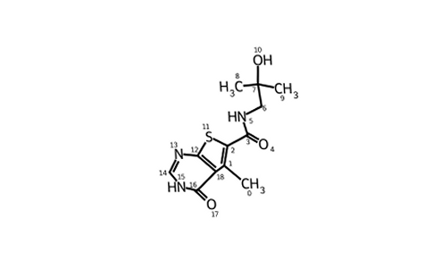 Cc1c(C(=O)NCC(C)(C)O)sc2nc[nH]c(=O)c12